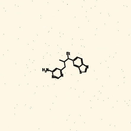 CCC(c1ccc2ncsc2c1)C(C)Cc1cc(N)ncn1